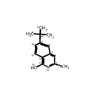 Cc1cc2cc(C(C)(C)C)ccc2c(O)n1